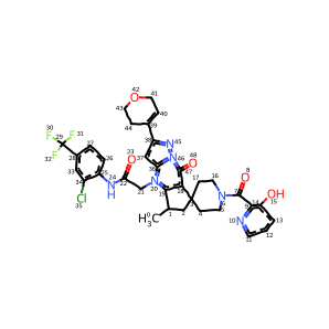 CC1CC2(CCN(C(=O)c3ncccc3O)CC2)c2c1n(CC(=O)Nc1ccc(C(F)(F)F)cc1Cl)c1cc(C3=CCOCC3)nn1c2=O